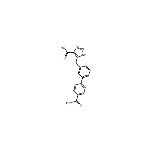 NC(=O)c1ccc(-c2cccc(Oc3[nH]nnc3C(=O)O)c2)cc1